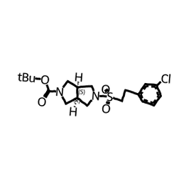 CC(C)(C)OC(=O)N1C[C@@H]2CN(S(=O)(=O)CCc3cccc(Cl)c3)C[C@@H]2C1